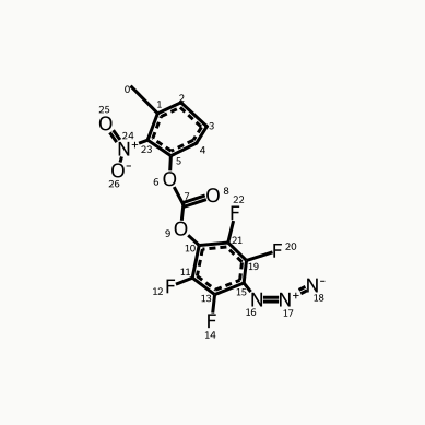 Cc1cccc(OC(=O)Oc2c(F)c(F)c(N=[N+]=[N-])c(F)c2F)c1[N+](=O)[O-]